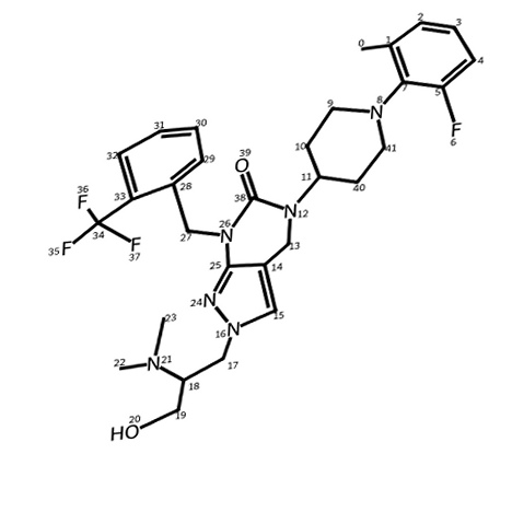 Cc1cccc(F)c1N1CCC(N2Cc3cn(CC(CO)N(C)C)nc3N(Cc3ccccc3C(F)(F)F)C2=O)CC1